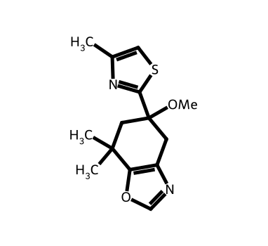 COC1(c2nc(C)cs2)Cc2ncoc2C(C)(C)C1